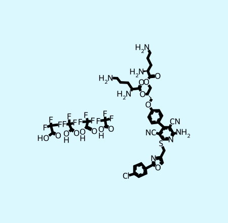 N#Cc1c(N)nc(SCc2coc(-c3ccc(Cl)cc3)n2)c(C#N)c1-c1ccc(OC[C@@H](COC(=O)[C@@H](N)CCCN)OC(=O)C(N)CCCN)cc1.O=C(O)C(F)(F)F.O=C(O)C(F)(F)F.O=C(O)C(F)(F)F.O=C(O)C(F)(F)F